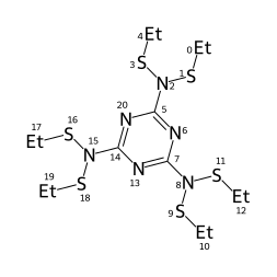 CCSN(SCC)c1nc(N(SCC)SCC)nc(N(SCC)SCC)n1